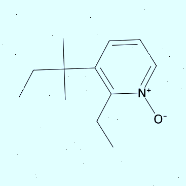 CCc1c(C(C)(C)CC)ccc[n+]1[O-]